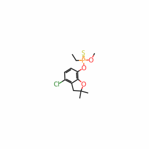 CCP(=S)(OC)Oc1ccc(Cl)c2c1OC(C)(C)C2